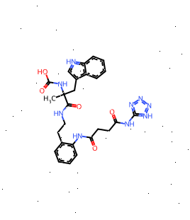 CC(Cc1c[nH]c2ccccc12)(NC(=O)O)C(=O)NCCc1ccccc1NC(=O)CCC(=O)Nc1nnn[nH]1